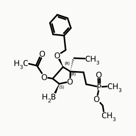 B[C@@H]1O[C@](CC)(CCP(C)(=O)OCC)[C@H](OCc2ccccc2)C1OC(C)=O